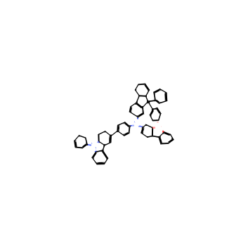 C1=CCCC(N2c3ccccc3C3C=C(c4ccc(N(C5=CCC6c7ccccc7OC6C5)c5ccc6c(c5)C(C5=CCCC=C5)(c5ccccc5)C5C=CCCC65)cc4)CCC32)=C1